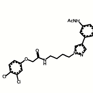 CC(=O)Nc1cccc(-c2cnn(CCCCNC(=O)COc3ccc(Cl)c(Cl)c3)c2)c1